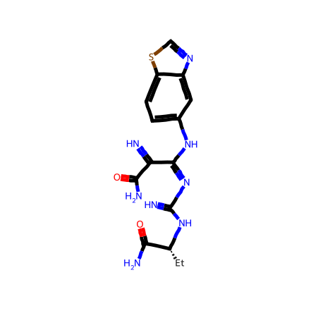 CC[C@@H](NC(=N)/N=C(/Nc1ccc2scnc2c1)C(=N)C(N)=O)C(N)=O